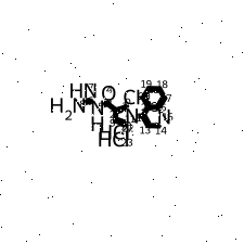 Cc1c(C(=O)NC(=N)N)ccn1-c1ccnc2ccccc12.Cl.Cl